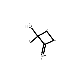 CC1(O)CCC1=N